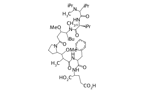 CCC(C)C(C(CC(=O)N1CCCC1C(OC)C(C)C(=O)NC(Cc1ccccc1)C(=O)NC(CCC(=O)O)C(=O)O)OC)N(C)C(=O)[C@@H](NC(=O)C(C(C)C)N(C)C(C)C)C(C)C